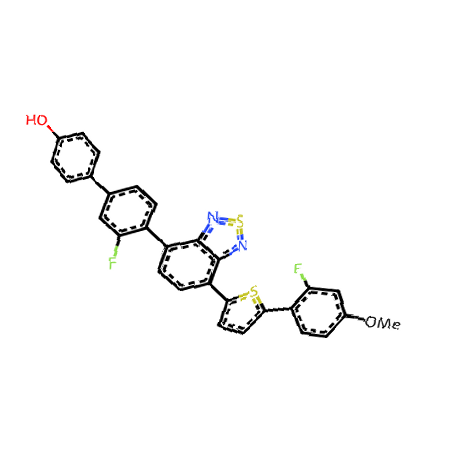 COc1ccc(-c2ccc(-c3ccc(-c4ccc(-c5ccc(O)cc5)cc4F)c4nsnc34)s2)c(F)c1